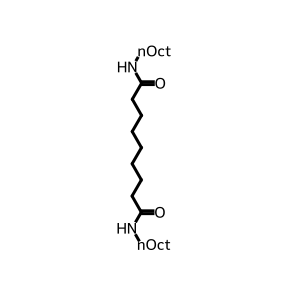 CCCCCCCCNC(=O)CCCCCCCC(=O)NCCCCCCCC